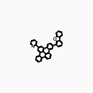 c1ccc(-c2cc3c4ccccc4c4cccc5c6cc(-c7cccc8c7oc7ccccc78)ccc6c(c2)c3c45)nc1